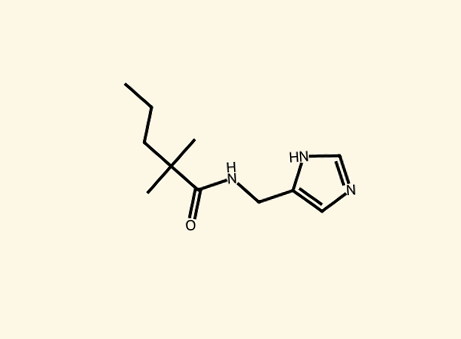 CCCC(C)(C)C(=O)NCc1cnc[nH]1